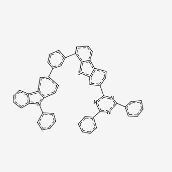 c1ccc(-c2nc(-c3ccccc3)nc(-c3ccc4c(c3)sc3c(-c5cccc(-c6ccc7c(c6)c6ccccc6n7-c6ccccc6)c5)cccc34)n2)cc1